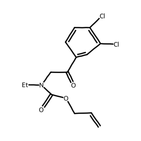 C=CCOC(=O)N(CC)CC(=O)c1ccc(Cl)c(Cl)c1